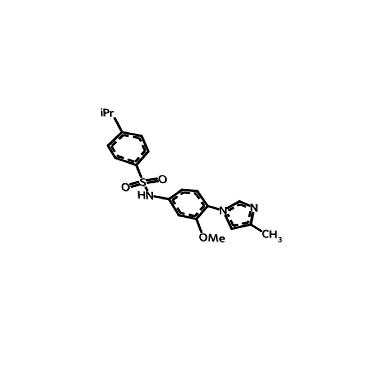 COc1cc(NS(=O)(=O)c2ccc(C(C)C)cc2)ccc1-n1cnc(C)c1